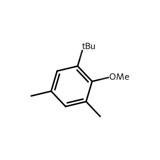 COc1c(C)cc(C)cc1C(C)(C)C